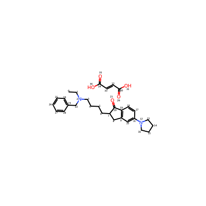 CCN(CCCCC1Cc2cc(N3CCCC3)ccc2C1=O)Cc1ccccc1.O=C(O)C=CC(=O)O